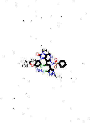 Cn1cc(-c2c(Br)c3c(ncc4c3n([C@H]3C[C@H](N)[C@H](O[Si](C)(C)C(C)(C)C)C3)c(=O)n4C)n2S(=O)(=O)c2ccccc2)c(F)n1